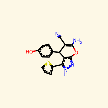 N#CC1=C(N)Oc2n[nH]c(-c3cccs3)c2C1c1ccc(O)cc1